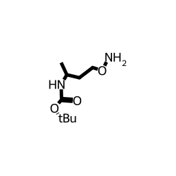 CC(CCON)NC(=O)OC(C)(C)C